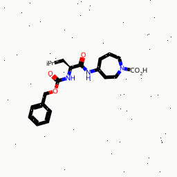 CC(C)C[C@H](NC(=O)OCc1ccccc1)C(=O)NC1CCCN(C(=O)O)CC1